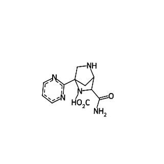 NC(=O)C1C2CC(c3ncccn3)(CN2)N1C(=O)O